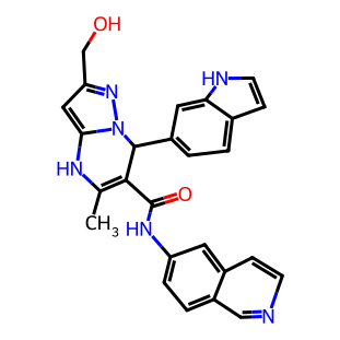 CC1=C(C(=O)Nc2ccc3cnccc3c2)C(c2ccc3cc[nH]c3c2)n2nc(CO)cc2N1